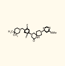 CNc1cc(N2CCC3(CC2)CN(c2cc(F)c(CN4CCC(C)(C)CC4)cc2F)CC(=O)N3)ncn1